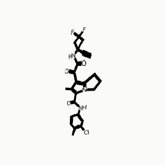 C#CC1(NC(=O)C(=O)c2c(C)c(C(=O)Nc3ccc(C)c(Cl)c3)n3c2CCC3)CC(F)(F)C1